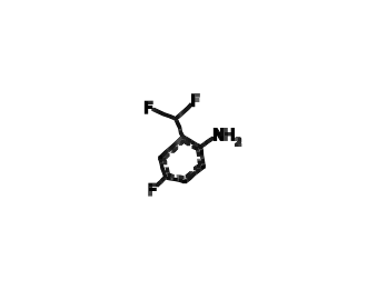 Nc1ccc(F)cc1C(F)F